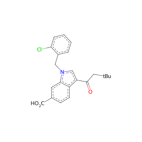 CC(C)(C)CC(=O)c1cn(Cc2ccccc2Cl)c2cc(C(=O)O)ccc12